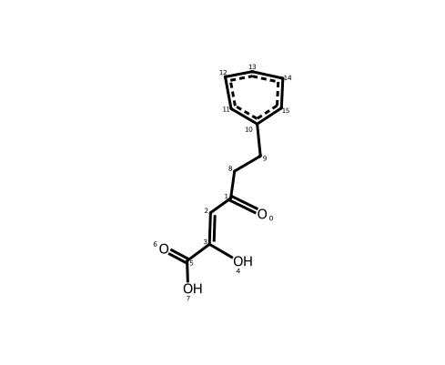 O=C(C=C(O)C(=O)O)CCc1ccccc1